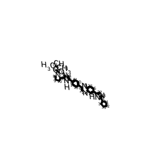 CC(C)(C)OC(=O)N1CCCC1c1ncc(-c2ccc(-c3cnc4cc(-c5cnc(C6CCCC6)[nH]5)ccc4n3)cc2)[nH]1